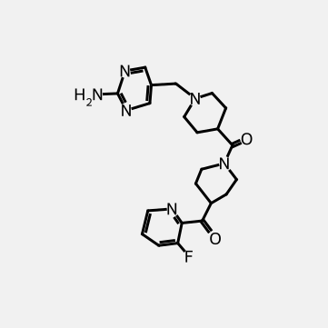 Nc1ncc(CN2CCC(C(=O)N3CCC(C(=O)c4ncccc4F)CC3)CC2)cn1